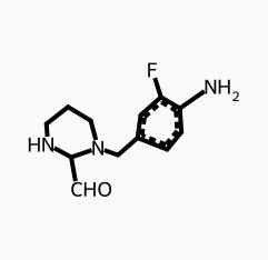 Nc1ccc(CN2CCCNC2C=O)cc1F